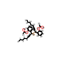 CCCCCC#CC(SC(C#CCCCCC)c1ccccc1OC(C)=O)c1ccccc1OC(C)=O